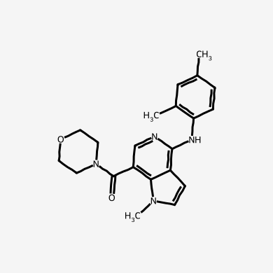 Cc1ccc(Nc2ncc(C(=O)N3CCOCC3)c3c2ccn3C)c(C)c1